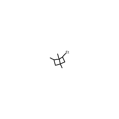 CCC1CC2(C)CC(C)C12C